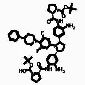 CC(C)(C)OC(=O)N1CCC[C@H]1C(=O)Nc1ccc([C@H]2CC[C@H](c3ccc(NC(=O)[C@@H]4CCCN4C(O)OC(C)(C)C)c(N)c3)N2c2cc(F)c(N3CCC(c4ccccc4)CC3)c(F)c2)cc1N